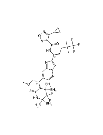 BC1(B)NC(=O)N([C@H](COC)c2cnn3cc([C@H](CCC(C)(C)C(F)(F)F)NC(=O)c4nonc4C4CC4)nc3c2)C(B)(B)C1(F)F